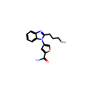 CCCCCCCCCCCCCc1nc2ccccc2n1-c1csc(C(N)=O)c1